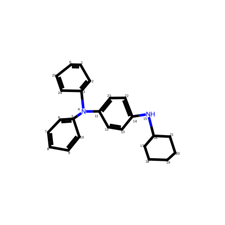 c1ccc(N(c2ccccc2)c2ccc(NC3CCCCC3)cc2)cc1